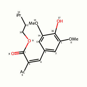 COc1cc(C=C(C(C)=O)C(=O)OCCC(C)C)cc(OC)c1O